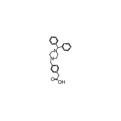 O=C(O)Cc1ccc(CN2CCN(C(c3ccccc3)c3ccccc3)CC2)cc1